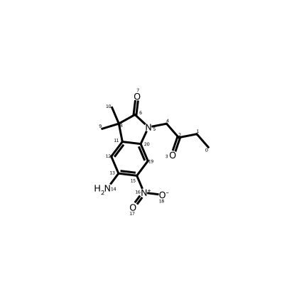 CCC(=O)CN1C(=O)C(C)(C)c2cc(N)c([N+](=O)[O-])cc21